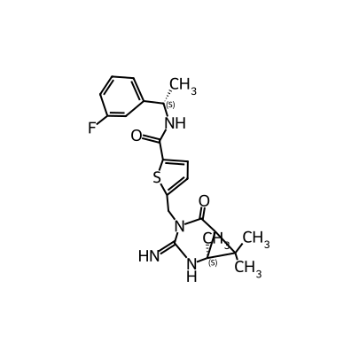 C[C@H](NC(=O)c1ccc(CN2C(=N)N[C@@]3(C)C(C2=O)C3(C)C)s1)c1cccc(F)c1